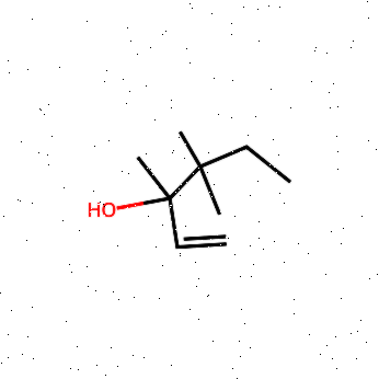 C=CC(C)(O)C(C)(C)CC